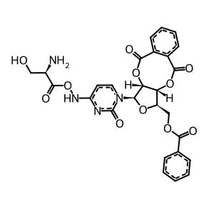 N[C@H](CO)C(=O)ONc1ccn([C@@H]2O[C@H](COC(=O)c3ccccc3)[C@H]3OC(=O)c4ccccc4C(=O)O[C@H]32)c(=O)n1